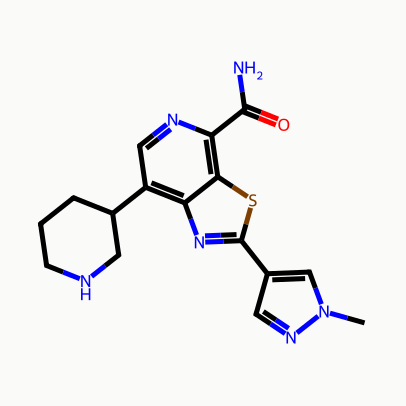 Cn1cc(-c2nc3c(C4CCCNC4)cnc(C(N)=O)c3s2)cn1